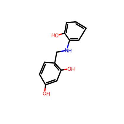 Oc1ccc(CNc2ccccc2O)c(O)c1